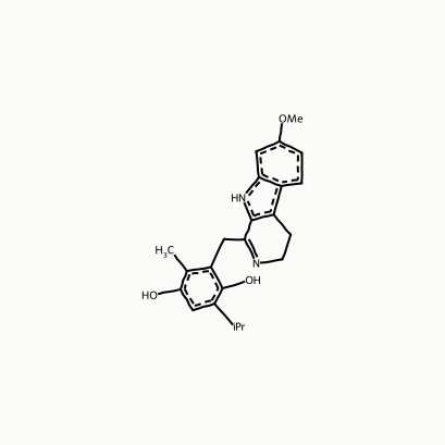 COc1ccc2c3c([nH]c2c1)C(Cc1c(C)c(O)cc(C(C)C)c1O)=NCC3